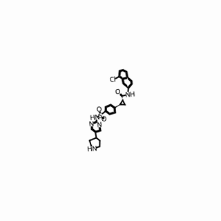 O=C(Nc1ccc2cccc(Cl)c2c1)[C@@H]1C[C@H]1c1ccc(S(=O)(=O)Nc2ncc(C3CCNCC3)cn2)cc1